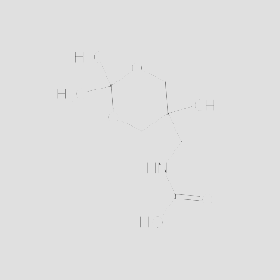 CC1(CNC(=O)O)COC(C)(C)OC1